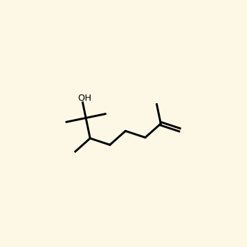 C=C(C)CCCC(C)C(C)(C)O